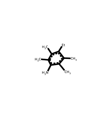 CCc1c(C)c(C)c(N)c(C)c1C